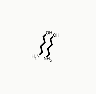 NCCCCO.NCCCCO